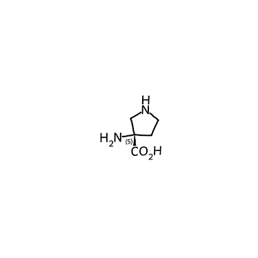 N[C@@]1(C(=O)O)CCNC1